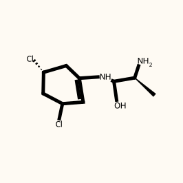 C[C@H](N)C(O)NC1=CC(Cl)C[C@H](Cl)C1